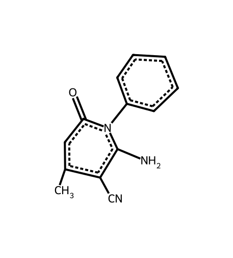 Cc1cc(=O)n(-c2ccccc2)c(N)c1C#N